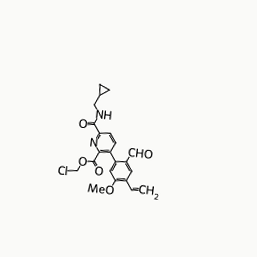 C=Cc1cc(C=O)c(-c2ccc(C(=O)NCC3CC3)nc2C(=O)OCCl)cc1OC